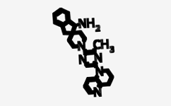 Cc1nc(N2CCCc3ncccc32)cnc1N1CCC2(CC1)Cc1ccccc1[C@H]2N